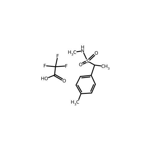 CNS(=O)(=O)C(C)c1ccc(C)cc1.O=C(O)C(F)(F)F